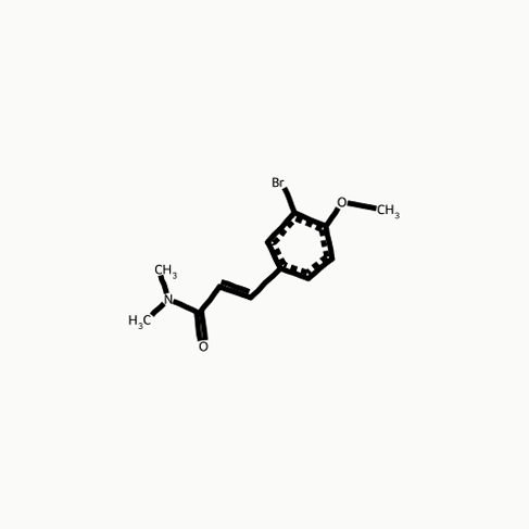 COc1ccc(C=CC(=O)N(C)C)cc1Br